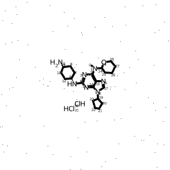 CN(c1nc(N[C@H]2CC[C@H](N)CC2)nc2c1ncn2C1CCCC1)C1CCCCO1.Cl.Cl